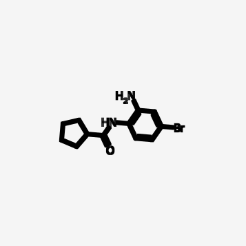 Nc1cc(Br)ccc1NC(=O)C1CCCC1